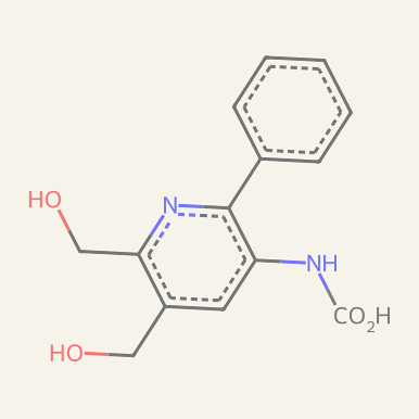 O=C(O)Nc1cc(CO)c(CO)nc1-c1ccccc1